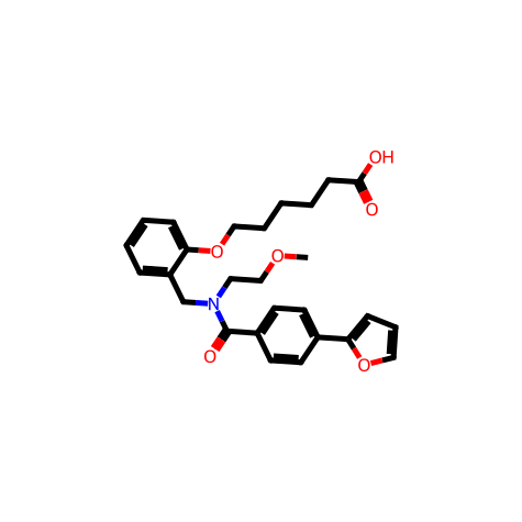 COCCN(Cc1ccccc1OCCCCCC(=O)O)C(=O)c1ccc(-c2ccco2)cc1